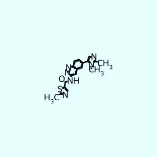 Cc1ncc(C(=O)Nc2cc3cc(-c4cnc(C)n4C)ccc3nn2)s1